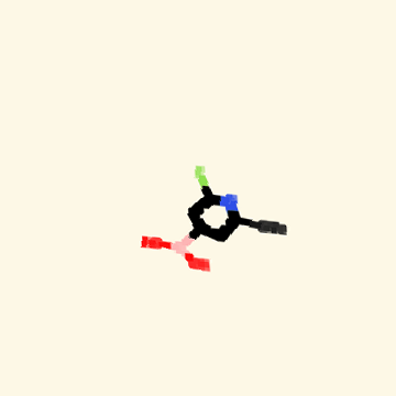 COc1cc(B(O)O)cc(F)n1